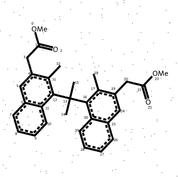 COC(=O)Cc1cc2ccccc2c(C(C)(C)c2c(C)c(CC(=O)OC)cc3ccccc23)c1C